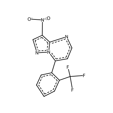 O=[N+]([O-])c1cnn2c(-c3ccccc3C(F)(F)F)ccnc12